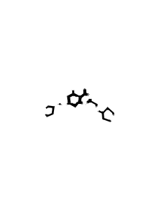 O=c1[nH]c(CSC2CCOCC2)nc2cc(OC[C@@H]3CCOC3)cc(F)c12